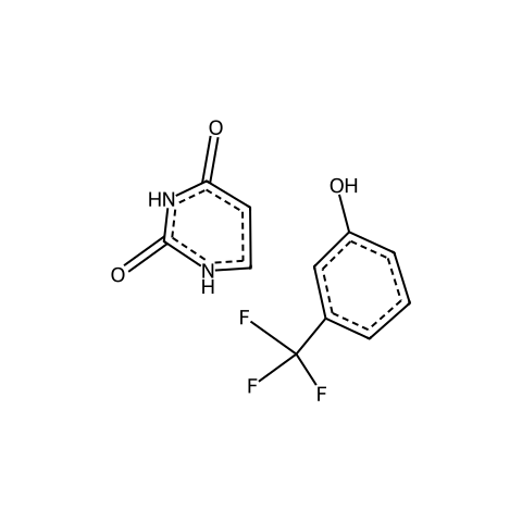 O=c1cc[nH]c(=O)[nH]1.Oc1cccc(C(F)(F)F)c1